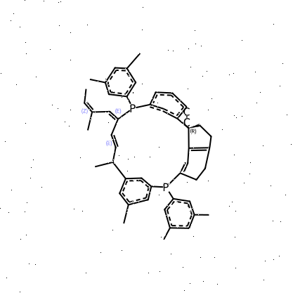 C\C=C(C)/C=C1\C=C\C(C)c2cc(C)cc(c2)P(c2cc(C)cc(C)c2)C2=CC3=C(CC2)CC[C@@]32CCc3ccc(cc32)P1c1cc(C)cc(C)c1